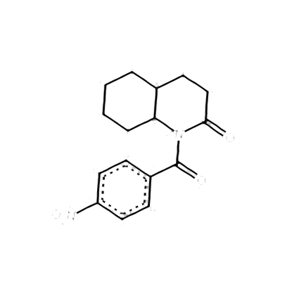 O=C1CCC2CCCCC2N1C(=O)c1ccc([N+](=O)[O-])cc1